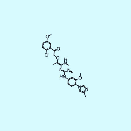 C=N/C(=N\C(NC)=C(/C)OCC(=O)c1cc(OC)ccc1Cl)Nc1ccc(-n2cnc(C)c2)c(OC)c1